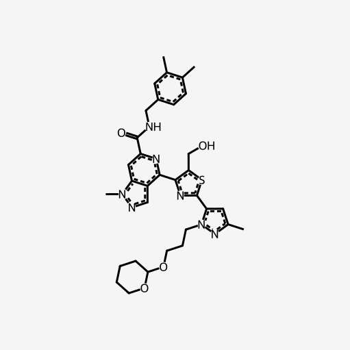 Cc1cc(-c2nc(-c3nc(C(=O)NCc4ccc(C)c(C)c4)cc4c3cnn4C)c(CO)s2)n(CCCOC2CCCCO2)n1